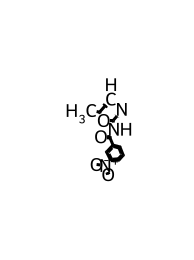 C#CC(C)OC(C#N)NC(=O)c1cccc([N+](=O)[O-])c1